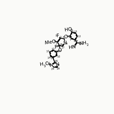 COC1=C(F)C(Oc2cc(C(=N)N)ccc2O)N=CC1(F)Oc1cccc(-c2nccn2C)c1